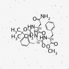 COC(=O)[C@H](Cc1ccccc1)NC(=O)[C@H](Cc1ccccc1)NC(=O)[C@H](CC(N)=O)NC(=O)OC(C)(C)C